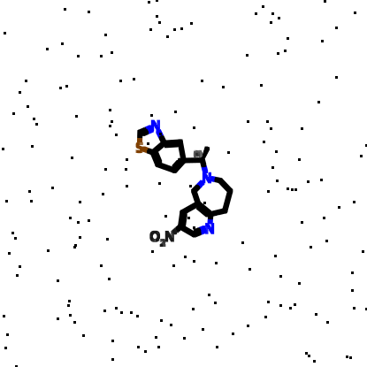 C[C@H](c1ccc2scnc2c1)N1CCCc2ncc([N+](=O)[O-])cc2C1